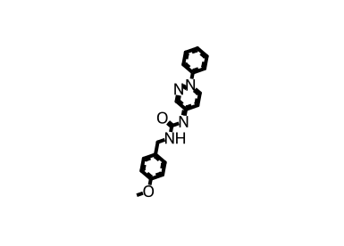 COc1ccc(CNC(=O)N=c2ccn(-c3ccccc3)nc2)cc1